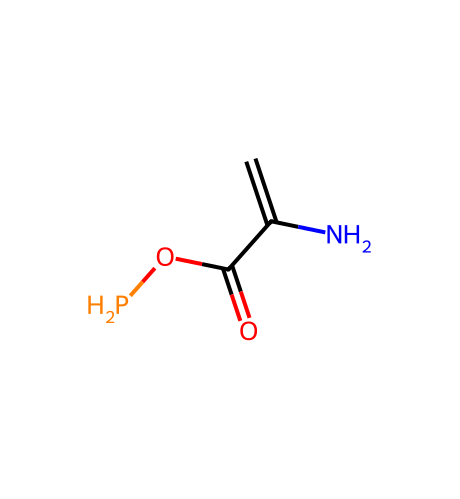 C=C(N)C(=O)OP